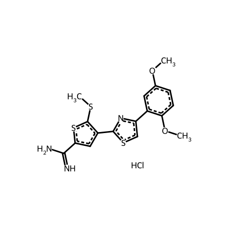 COc1ccc(OC)c(-c2csc(-c3cc(C(=N)N)sc3SC)n2)c1.Cl